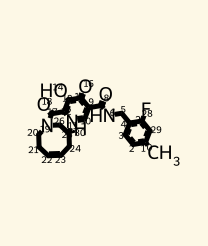 Cc1ccc(CNC(=O)c2cn3c(c(O)c2=O)C(=O)N2CC/C=C\C[C@@H]3C2)c(F)c1